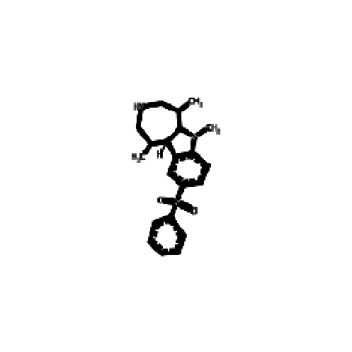 CC1CNCC(C)[C@@H]2c3cc(S(=O)(=O)c4ccccc4)ccc3N(C)C12